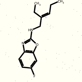 CC/C=C(\CC)CNc1nc2ccc(F)cc2o1